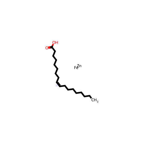 CCCCCCCC/C=C\CCCCCCCC(=O)O.[Fe].[Zn]